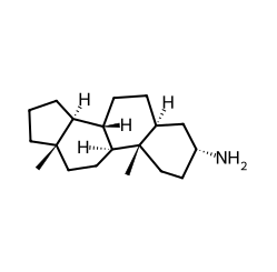 C[C@@]12CCC[C@H]1[C@@H]1CC[C@H]3C[C@H](N)CC[C@]3(C)[C@H]1CC2